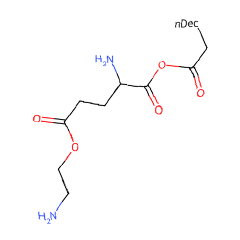 CCCCCCCCCCCC(=O)OC(=O)C(N)CCC(=O)OCCN